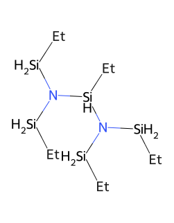 CC[SiH2]N([SiH2]CC)[SiH](CC)N([SiH2]CC)[SiH2]CC